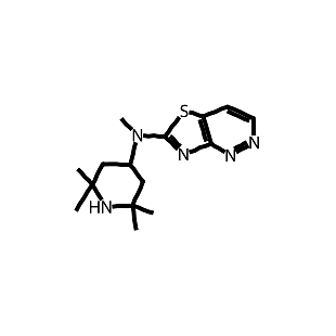 CN(c1nc2nnccc2s1)C1CC(C)(C)NC(C)(C)C1